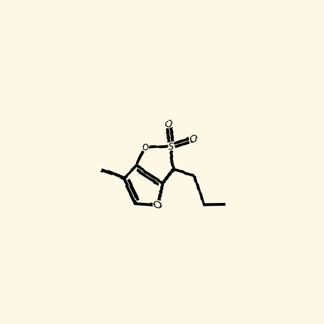 CCCC1c2occ(C)c2OS1(=O)=O